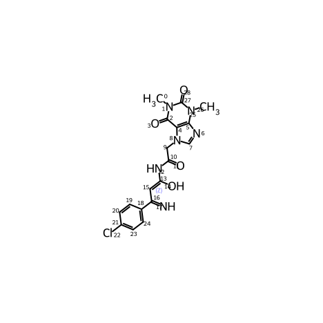 Cn1c(=O)c2c(ncn2CC(=O)N/C(O)=C/C(=N)c2ccc(Cl)cc2)n(C)c1=O